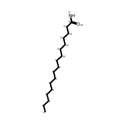 CCCCCCCCCCCCCCCCC([NH])=O